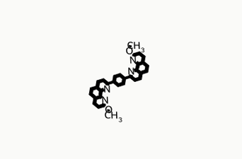 COc1ccc2ccc3ccc(-c4ccc(-c5ccc6ccc7ccc(OC)nc7c6n5)cc4)nc3c2n1